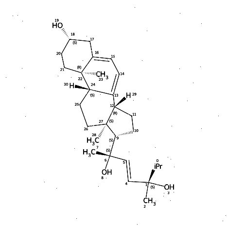 CC(C)[C@](C)(O)C=C[C@](C)(O)[C@H]1CC[C@H]2C3=CC=C4C[C@@H](O)CC[C@]4(C)[C@H]3CC[C@@]21C